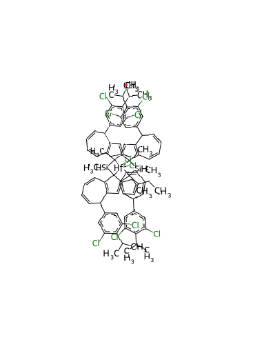 CCC1=CC2=C(C=CC=CC2c2cc(Cl)c(C(C)C)c(Cl)c2)[C]12[SiH](C)[C]1(C(CC)=CC3=C1C=CC=CC3c1cc(Cl)c(C(C)C)c(Cl)c1)[Hf]21([Cl])([Cl])[C]2(C(CC)=CC3=C2C=CC=CC3c2cc(Cl)c(C(C)C)c(Cl)c2)[SiH](C)[C]12C(CC)=CC1=C2C=CC=CC1c1cc(Cl)c(C(C)C)c(Cl)c1